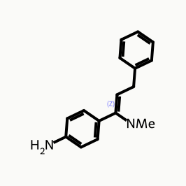 CN/C(=C\Cc1ccccc1)c1ccc(N)cc1